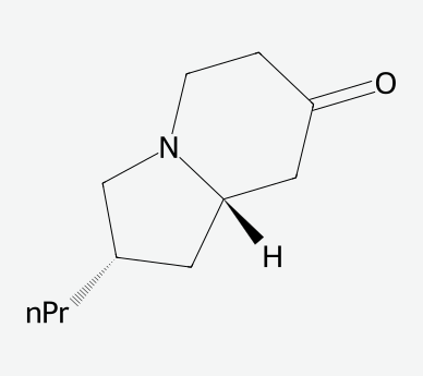 CCC[C@H]1C[C@H]2CC(=O)CCN2C1